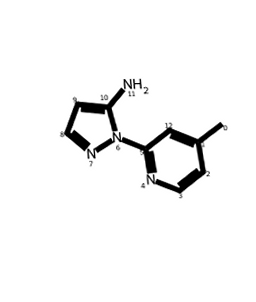 Cc1ccnc(-n2nccc2N)c1